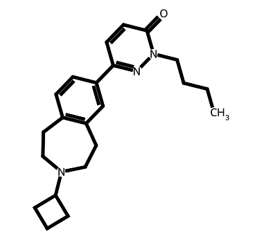 CCCCn1nc(-c2ccc3c(c2)CCN(C2CCC2)CC3)ccc1=O